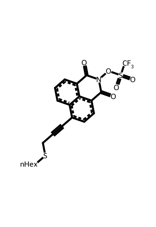 CCCCCCSCC#Cc1ccc2c3c(cccc13)C(=O)N(OS(=O)(=O)C(F)(F)F)C2=O